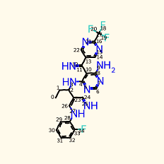 CCC(Nc1ncnc(N)c1C(=N)c1cnc(C(F)(F)F)nc1)/C(C=N)=C/Nc1ccccc1F